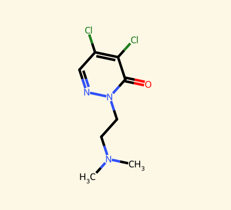 CN(C)CCn1ncc(Cl)c(Cl)c1=O